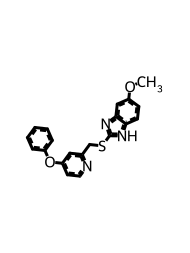 COc1ccc2[nH]c(SCc3cc(Oc4ccccc4)ccn3)nc2c1